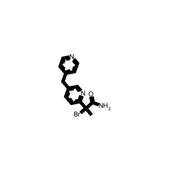 CC(Br)(C(N)=O)c1ccc(Cc2ccncc2)cn1